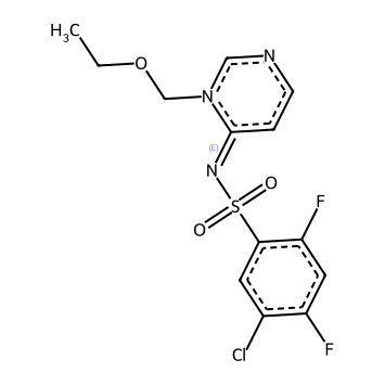 CCOCn1cncc/c1=N\S(=O)(=O)c1cc(Cl)c(F)cc1F